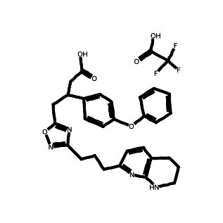 O=C(O)C(F)(F)F.O=C(O)CC(Cc1nc(CCCc2ccc3c(n2)NCCC3)no1)c1ccc(Oc2ccccc2)cc1